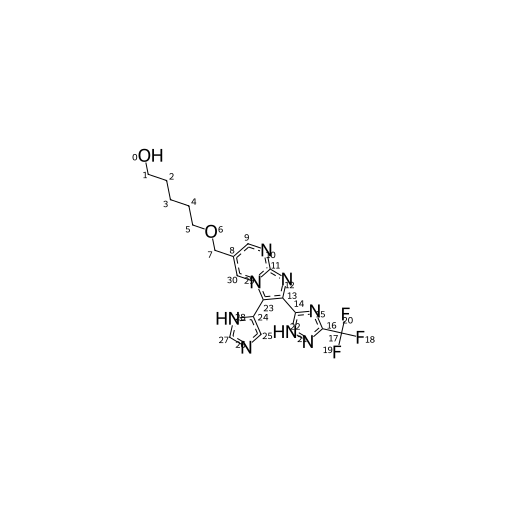 OCCCCCOCc1cnc2nc(-c3nc(C(F)(F)F)n[nH]3)c(-c3cnc[nH]3)n2c1